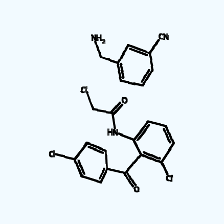 N#Cc1cccc(CN)c1.O=C(CCl)Nc1cccc(Cl)c1C(=O)c1ccc(Cl)cc1